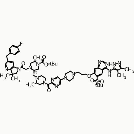 Cc1n[nH]c(Nc2ncnc3cc(OCCCN4CCN(c5cnc(C(=O)N6CCN(C[C@H]7CN(C(=O)OC(C)(C)C)[C@H](C)CN7CC(=O)N7CC(C)(C)c8ncc(Cc9ccc(F)cc9)cc87)C(C)C6)nc5)CC4)c(S(=O)(=O)C(C)(C)C)cc23)c1C